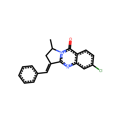 CC1CC(=Cc2ccccc2)c2nc3cc(Cl)ccc3c(=O)n21